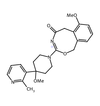 COc1cccc2c1CC(=O)/N=C(/N1CCC(OC)(c3cccnc3C)CC1)OC2